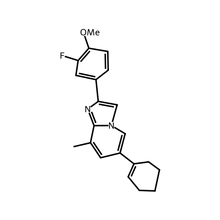 COc1ccc(-c2cn3cc(C4=CCCCC4)cc(C)c3n2)cc1F